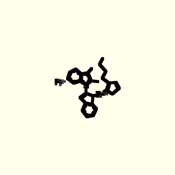 CCCCC1=[C]([Zr+2][CH]2C(n3c(C)c(C)c4ccccc43)=Cc3ccccc32)CC=C1.[F-].[F-]